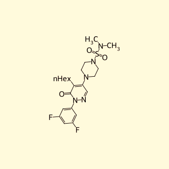 CCCCCCc1c(N2CCN(S(=O)(=O)N(C)C)CC2)cnn(-c2cc(F)cc(F)c2)c1=O